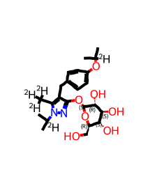 [2H]C(C)(C)Oc1ccc(Cc2c(O[C@@H]3O[C@H](CO)[C@@H](O)[C@H](O)[C@H]3O)nn(C([2H])(C)C)c2C([2H])([2H])[2H])cc1